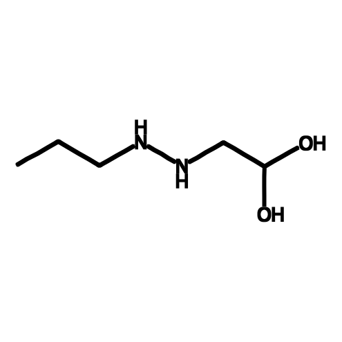 CCCNNCC(O)O